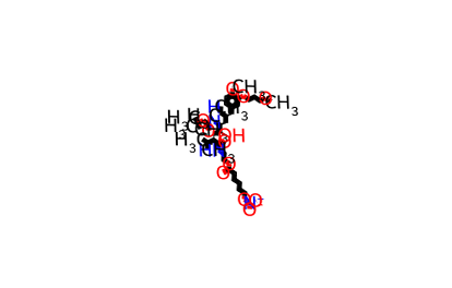 COCCCOc1cc(C[C@@H](C[C@H](NC(=O)OC(C)(C)C)[C@@H](O)C[C@H](C(=O)NCCOC(=O)CCCCCO[N+](=O)[O-])C(C)C)C(C)C)ccc1OC